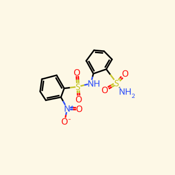 NS(=O)(=O)c1ccccc1NS(=O)(=O)c1ccccc1[N+](=O)[O-]